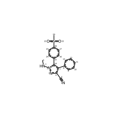 CNn1nc(C#N)c(-c2ccccc2)c1-c1ccc(S(C)(=O)=O)cc1